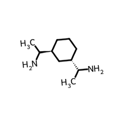 CC(N)[C@H]1CCC[C@H](C(C)N)C1